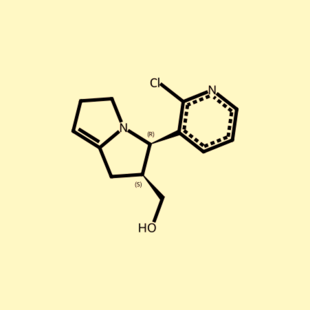 OC[C@H]1CC2=CCCN2[C@H]1c1cccnc1Cl